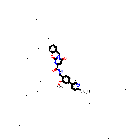 O=C(O)c1ccc(-c2ccc(CNC(=O)c3cc(=O)n(Cc4ccccc4)c(=O)[nH]3)c(OC(F)(F)F)c2)cn1